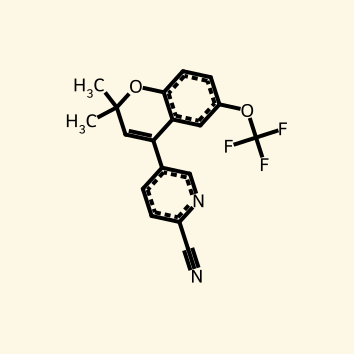 CC1(C)C=C(c2ccc(C#N)nc2)c2cc(OC(F)(F)F)ccc2O1